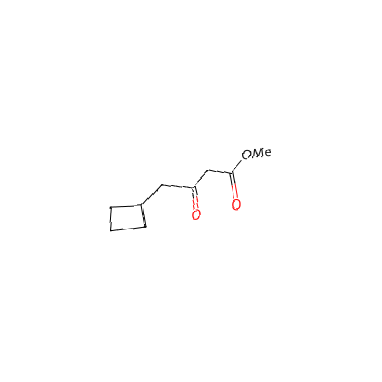 COC(=O)CC(=O)CC1CCC1